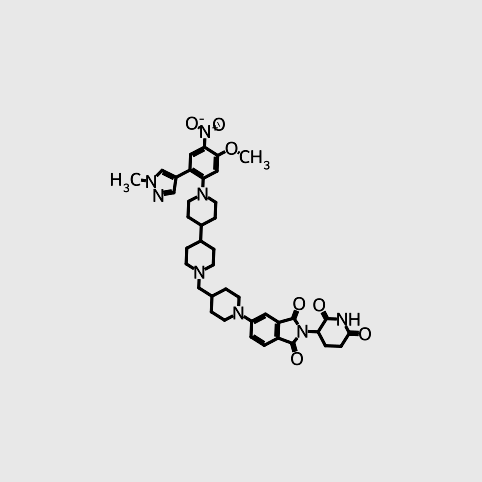 COc1cc(N2CCC(C3CCN(CC4CCN(c5ccc6c(c5)C(=O)N(C5CCC(=O)NC5=O)C6=O)CC4)CC3)CC2)c(-c2cnn(C)c2)cc1[N+](=O)[O-]